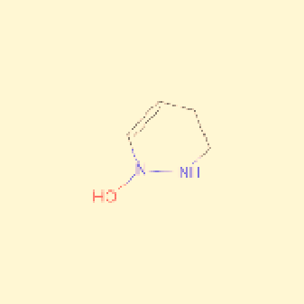 ON1C=CCCN1